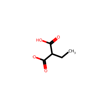 CCC(C([O])=O)C(=O)O